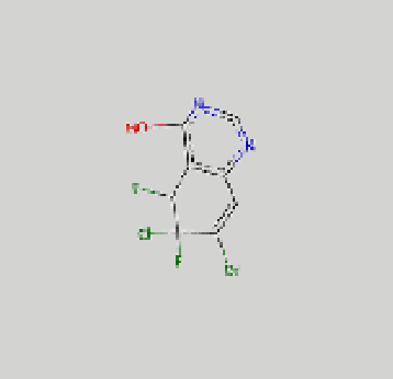 Oc1ncnc2c1C(F)C(F)(Cl)C(Br)=C2